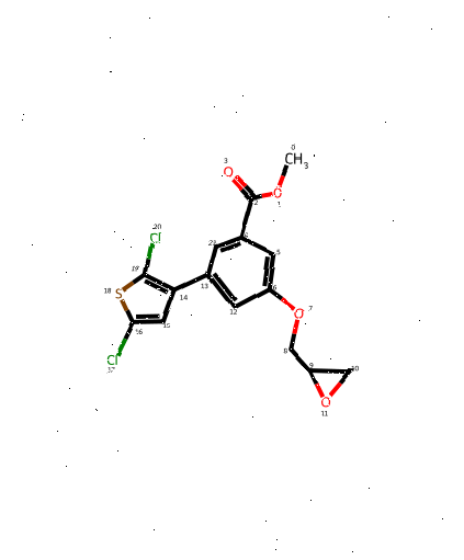 COC(=O)c1cc(OCC2CO2)cc(-c2cc(Cl)sc2Cl)c1